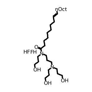 CCCCCCCCC=CCCCCCCCC(=O)N(CCCO)CCCN(CCCO)CCCO.F.F